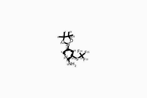 CC1(C)OB(c2cnc(N)c(SC(F)(F)F)c2)OC1(C)C